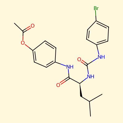 CC(=O)Oc1ccc(NC(=O)[C@H](CC(C)C)NC(=O)Nc2ccc(Br)cc2)cc1